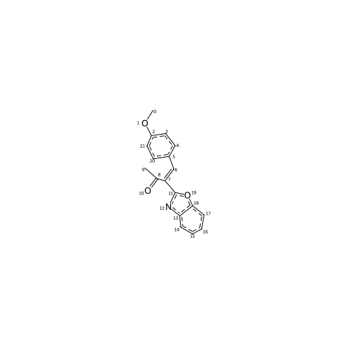 COc1ccc(/C=C(\C(C)=O)c2nc3ccccc3o2)cc1